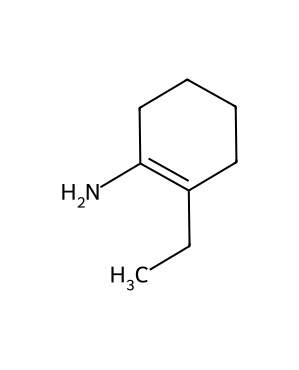 CCC1=C(N)CCCC1